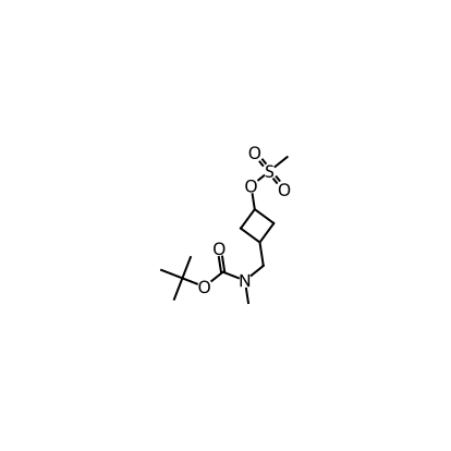 CN(CC1CC(OS(C)(=O)=O)C1)C(=O)OC(C)(C)C